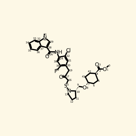 COC(=O)[C@H]1CC[C@H](OC[C@@H]2CCCN2SCC(=O)Cc2cc(Cl)c(NC(=O)c3cn(C)c4ccccc34)cc2F)CC1